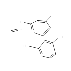 C=O.Oc1ccnc(O)c1.Oc1ccnc(O)c1